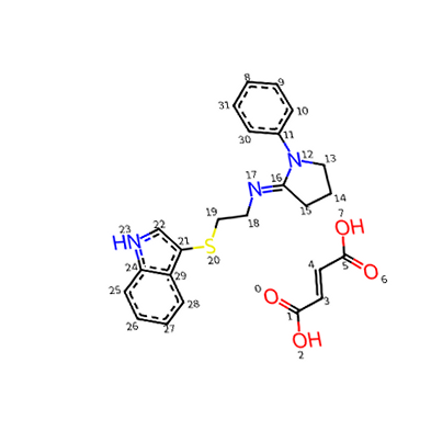 O=C(O)C=CC(=O)O.c1ccc(N2CCCC2=NCCSc2c[nH]c3ccccc23)cc1